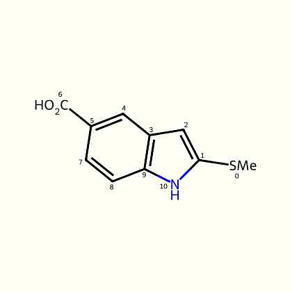 CSc1cc2cc(C(=O)O)ccc2[nH]1